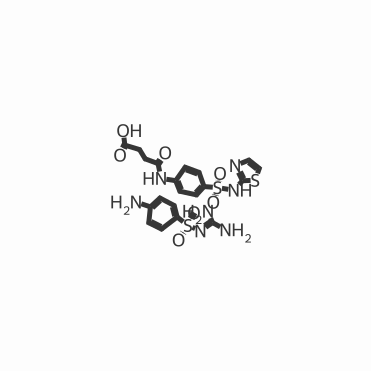 NC(N)=NS(=O)(=O)c1ccc(N)cc1.O=C(O)CCC(=O)Nc1ccc(S(=O)(=O)Nc2nccs2)cc1